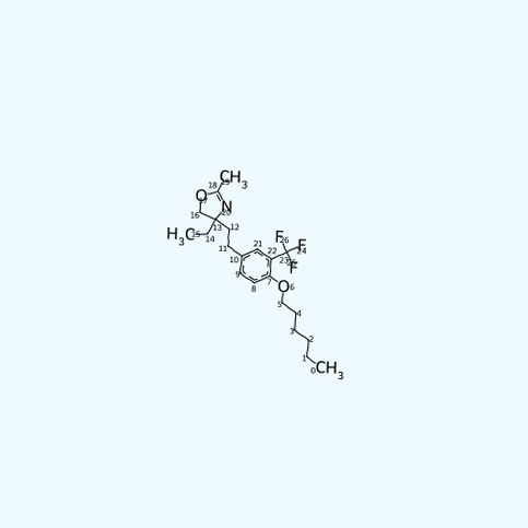 CCCCCCOc1ccc(CCC2(CC)COC(C)=N2)cc1C(F)(F)F